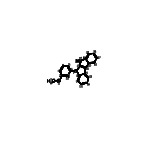 COc1cccc(-n2c3ccccc3c3c4ccccc4[nH]c32)n1